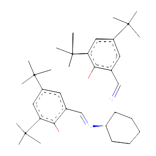 CC(C)(C)c1cc(C=N[C@@H]2CCCC[C@H]2N=Cc2cc(C(C)(C)C)cc(C(C)(C)C)c2O)c(O)c(C(C)(C)C)c1